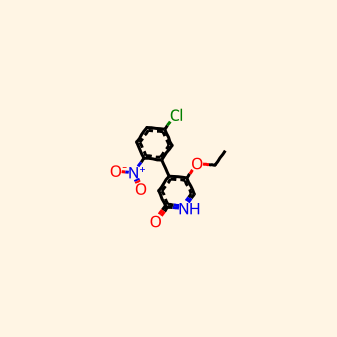 CCOc1c[nH]c(=O)cc1-c1cc(Cl)ccc1[N+](=O)[O-]